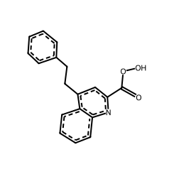 O=C(OO)c1cc(CCc2ccccc2)c2ccccc2n1